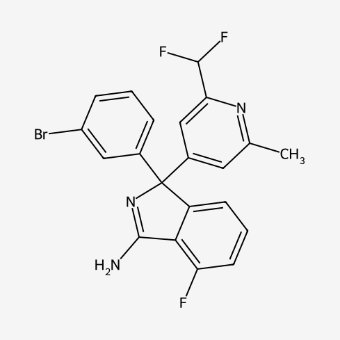 Cc1cc(C2(c3cccc(Br)c3)N=C(N)c3c(F)cccc32)cc(C(F)F)n1